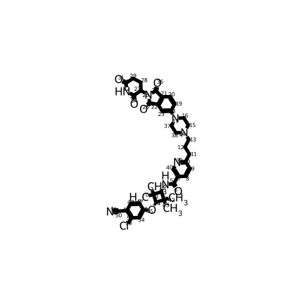 CC1(C)[C@H](NC(=O)c2ccc(CCCN3CCN(c4ccc5c(c4)C(=O)N(C4CCC(=O)NC4=O)C5=O)CC3)nc2)C(C)(C)[C@H]1Oc1ccc(C#N)c(Cl)c1